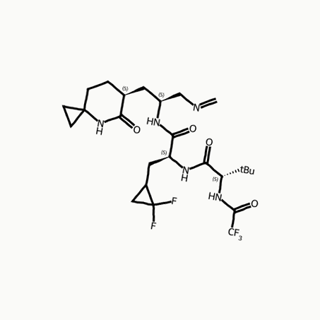 C=NC[C@H](C[C@@H]1CCC2(CC2)NC1=O)NC(=O)[C@H](CC1CC1(F)F)NC(=O)[C@@H](NC(=O)C(F)(F)F)C(C)(C)C